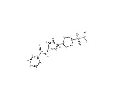 CN(C)S(=O)(=O)N1CCN([n+]2cc([N-]C(=O)c3ccccc3)on2)CC1